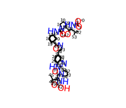 COC(=O)N[C@H](C(=O)[C@@H]1CCCN1C(=O)Nc1cccc(-c2ncc(-c3ccc4[nH]c([C@@H]5CCCN5C(=O)[C@@H](NC(=O)O)C(C)C)nc4c3)o2)c1)C(C)C